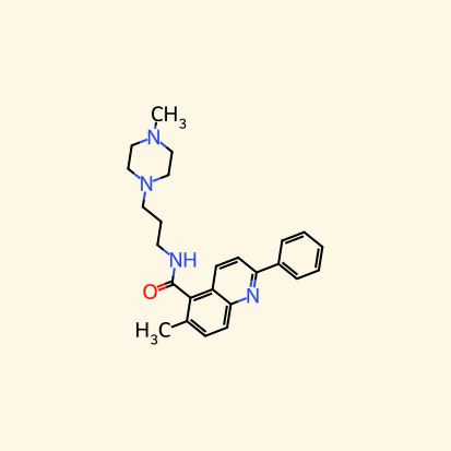 Cc1ccc2nc(-c3ccccc3)ccc2c1C(=O)NCCCN1CCN(C)CC1